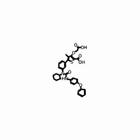 Cc1c(-c2cccc(N(C(=O)Nc3ccc(Oc4ccccc4)cc3)C3CCCCC3)c2)sc(C(=O)O)c1OCC(=O)O